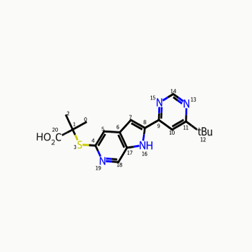 CC(C)(Sc1cc2cc(-c3cc(C(C)(C)C)ncn3)[nH]c2cn1)C(=O)O